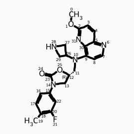 COc1ccc2nccc(N(C[C@@H]3CN(c4ccc(C)c(F)c4)C(=O)O3)C3CNC3)c2n1